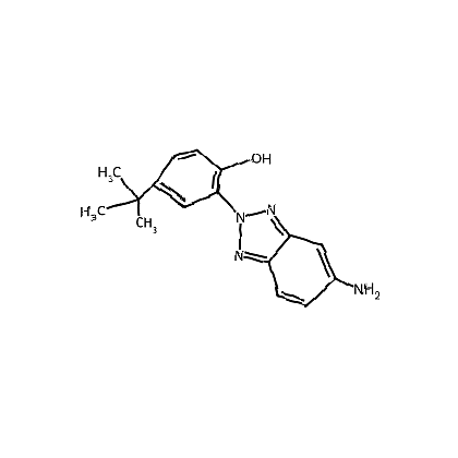 CC(C)(C)c1ccc(O)c(-n2nc3ccc(N)cc3n2)c1